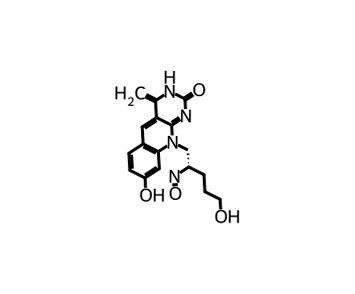 C=c1[nH]c(=O)nc2c1=Cc1ccc(O)cc1N2C[C@H](CCCO)N=O